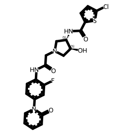 O=C(CN1C[C@H](NC(=O)c2ccc(Cl)s2)[C@@H](O)C1)Nc1ccc(-n2ccccc2=O)cc1F